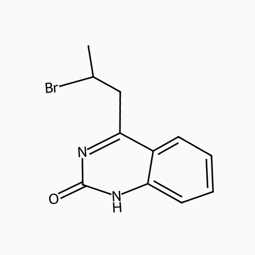 CC(Br)Cc1nc(=O)[nH]c2ccccc12